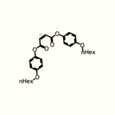 CCCCCCOc1ccc(OC(=O)/C=C\C(=O)Oc2ccc(OCCCCCC)cc2)cc1